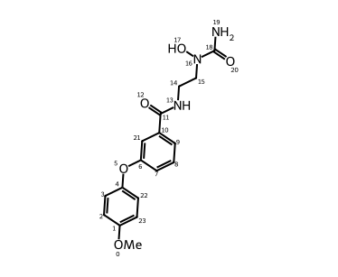 COc1ccc(Oc2cccc(C(=O)NCCN(O)C(N)=O)c2)cc1